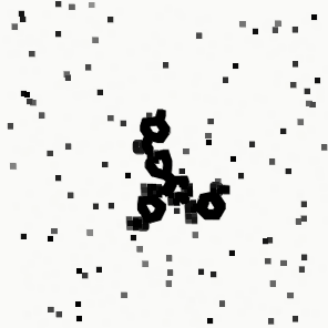 COc1cccc(Nc2ncc(C3CCN(C(=O)C4CCC(C)CC4)CC3)c(N[C@H]3CC[C@H](O)CC3)n2)c1